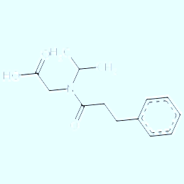 CC(C)N(CC(=O)O)C(=O)CCc1ccccc1